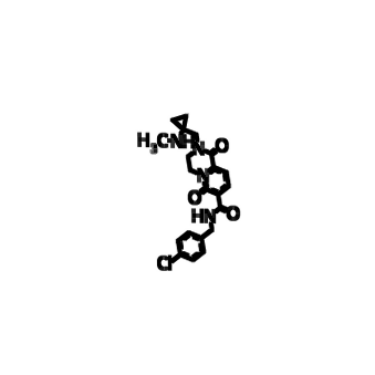 CNC1(CN2CCn3c(ccc(C(=O)NCc4ccc(Cl)cc4)c3=O)C2=O)CC1